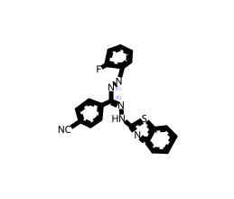 N#Cc1ccc(C(/N=N/c2ccccc2F)=N\Nc2nc3ccccc3s2)cc1